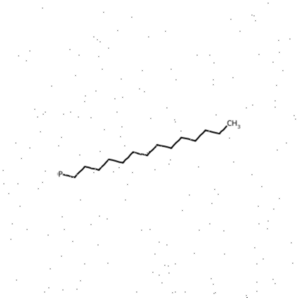 CCCCCCCCCCCCCC[P]